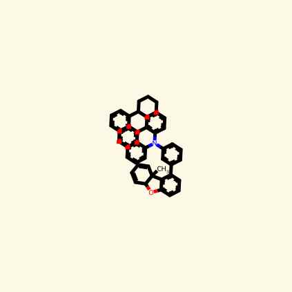 CC12C=CC=CC1Oc1cccc(-c3cccc(N(c4ccccc4-c4cccc5cccc(C6CCCCC6)c45)c4cccc5ccccc45)c3)c12